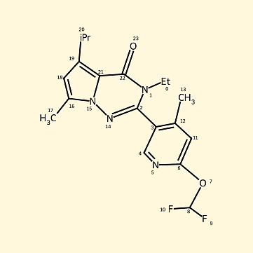 CCn1c(-c2cnc(OC(F)F)cc2C)nn2c(C)cc(C(C)C)c2c1=O